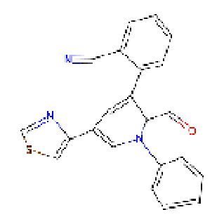 N#Cc1ccccc1C1=CC(c2cscn2)=CN(c2ccccc2)C1C=O